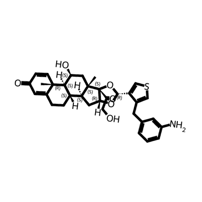 C[C@]12C=CC(=O)C=C1CC[C@@H]1[C@@H]2[C@@H](O)C[C@@]2(C)[C@H]1C[C@H]1O[C@@H](c3cscc3Cc3cccc(N)c3)O[C@]12C(=O)CO